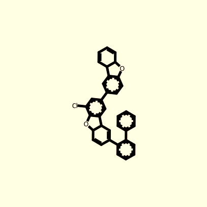 Clc1cc(-c2ccc3c(c2)C2C=CC=CC2O3)cc2c1OC1C=CC(c3ccccc3-c3ccccc3)=CC21